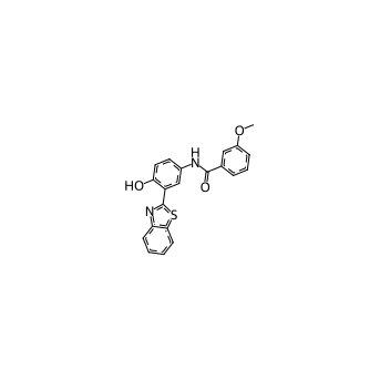 COc1cccc(C(=O)Nc2ccc(O)c(-c3nc4ccccc4s3)c2)c1